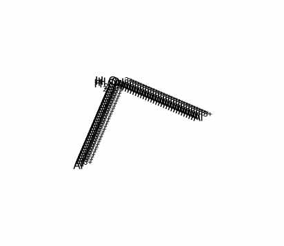 O.O.O.[Al+3].[Al+3].[Al+3].[Al+3].[Al+3].[Al+3].[Al+3].[Al+3].[Al+3].[Al+3].[Al+3].[Al+3].[Al+3].[Al+3].[Al+3].[Al+3].[Al+3].[Al+3].[Al+3].[Al+3].[Al+3].[Al+3].[Al+3].[Al+3].[Al+3].[Al+3].[Al+3].[Al+3].[Al+3].[Al+3].[Al+3].[Al+3].[Al+3].[Al+3].[Al+3].[Al+3].[Al+3].[Al+3].[Al+3].[Al+3].[Al+3].[Al+3].[Al+3].[Al+3].[Al+3].[Al+3].[Al+3].[Al+3].[Al+3].[Al+3].[Al+3].[Al+3].[Al+3].[Al+3].[Al+3].[Al+3].[Al+3].[Al+3].[Al+3].[Al+3].[Al+3].[Al+3].[Al+3].[Al+3]